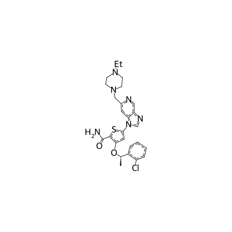 CCN1CCN(Cc2cc3c(cn2)ncn3-c2cc(O[C@H](C)c3ccccc3Cl)c(C(N)=O)s2)CC1